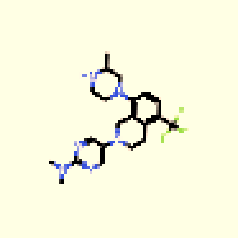 CC1CN(c2ccc(C(F)(F)F)c3c2CN(c2cnc(N(C)C)nc2)CC3)CCN1